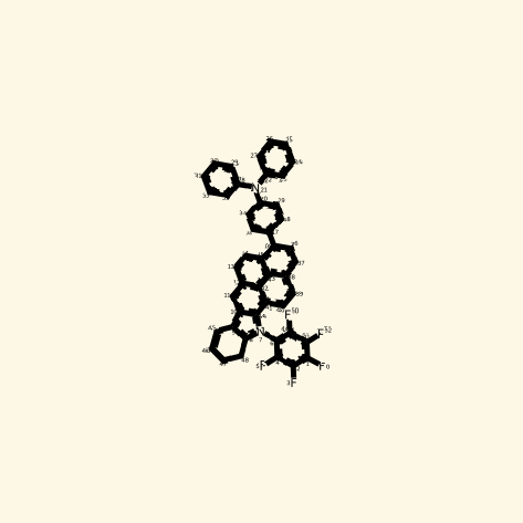 Fc1c(F)c(F)c(-n2c3c(c4cc5ccc6c(-c7ccc(N(c8ccccc8)c8ccccc8)cc7)ccc7ccc(c5c76)c42)C=CCC3)c(F)c1F